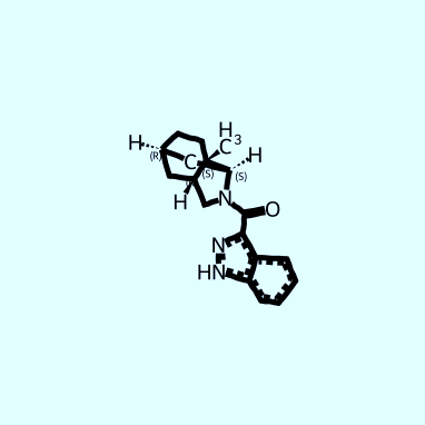 C[C@]12CC[C@@H]3C[C@H]1CN(C(=O)c1n[nH]c4ccccc14)[C@H]2C3